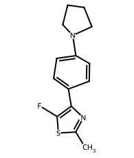 Cc1nc(-c2ccc(N3CCCC3)cc2)c(F)s1